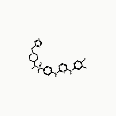 Cc1cc(Nc2ccnc(Nc3ccc(S(=O)(=O)N(C)C4CCN(Cc5cncs5)CC4)cc3)n2)ccc1F